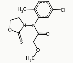 COCC(=O)N(c1cc(Cl)ccc1C)N1CCOC1=S